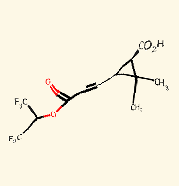 CC1(C)[C@H](C(=O)O)[C@@H]1/C=C/C(=O)OC(C(F)(F)F)C(F)(F)F